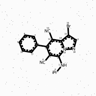 CC(C)Nc1c(C#N)c(-c2ccccc2)c(C#N)c2c(Br)cnn12